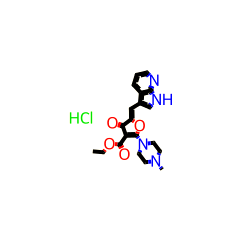 CCOC(=O)C1=C(N2CCN(C)CC2)O/C(=C\c2c[nH]c3ncccc23)C1=O.Cl